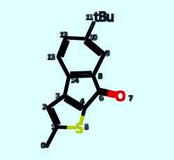 Cc1cc2c(s1)C(=O)c1cc(C(C)(C)C)ccc1-2